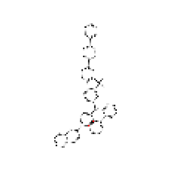 CC1(C)c2cc(-c3ccc(-c4ccccc4)cc3)ccc2-c2ccc(N(c3ccc(-c4ccc5ccccc5c4)cc3)c3ccccc3-c3ccccc3)cc21